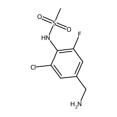 CS(=O)(=O)Nc1c(F)cc(CN)cc1Cl